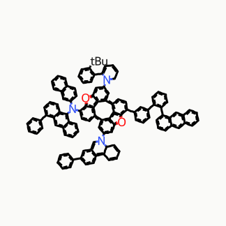 CC(C)(C)c1ccccc1C1=CC=CCN1c1cc2oc3c(N(c4ccc5ccccc5c4)c4c5ccccc5cc5c(-c6ccccc6)cccc45)ccc4c5cc(N6C=c7cc(-c8ccccc8)ccc7=C7C=CC=CC76)cc6oc7c(-c8cccc(-c9ccccc9-c9cccc%10cc%11ccccc%11cc9%10)c8)ccc(c(c1)c2c34)c7c65